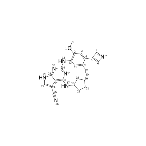 COc1cc(C2=CN=C2)c(F)cc1Nc1nc(NC2CCCC2)c2c(C#N)c[nH]c2n1